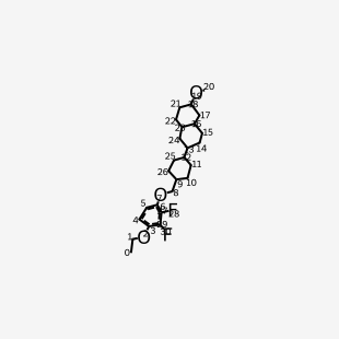 CCOc1ccc(OCC2CCC(C3CCC4CC(OC)CCC4C3)CC2)c(F)c1F